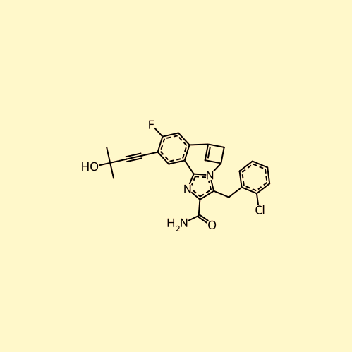 CC(C)(O)C#Cc1cc2c(cc1F)C1=CC(C1)n1c-2nc(C(N)=O)c1Cc1ccccc1Cl